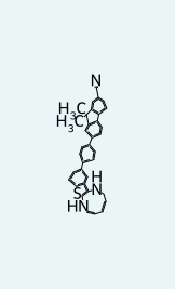 CC1(C)c2cc(C#N)ccc2-c2ccc(-c3ccc(-c4ccc5sc6c(c5c4)NC/C=C\C=C/N6)cc3)cc21